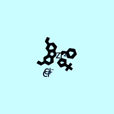 C=Cc1ccc2c(c1)-c1cc(C=C)ccc1[CH]2/[Zr+2](=[CH]/c1ccccc1)[C]1=CC(C(C)(C)C)=CC1.[Cl-].[Cl-]